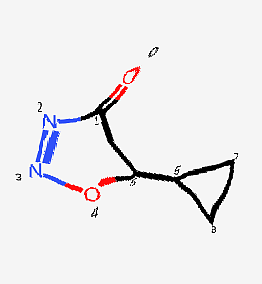 O=C1N=NOC1C1CC1